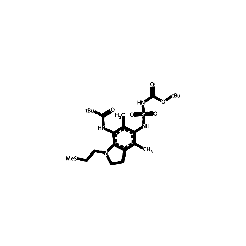 CSCCN1CCc2c(C)c(NS(=O)(=O)NC(=O)OC(C)(C)C)c(C)c(NC(=O)C(C)(C)C)c21